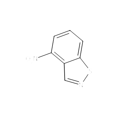 O=[N+]([O-])c1cccc2sn[c]c12